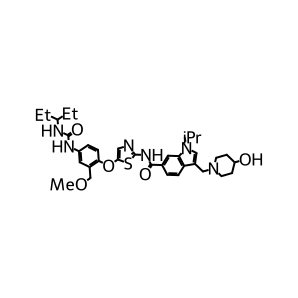 CCC(CC)NC(=O)Nc1ccc(Oc2cnc(NC(=O)c3ccc4c(CN5CCC(O)CC5)cn(C(C)C)c4c3)s2)c(COC)c1